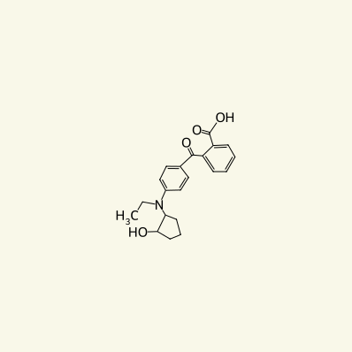 CCN(c1ccc(C(=O)c2ccccc2C(=O)O)cc1)C1CCCC1O